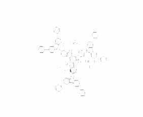 CCCCC(CC)Cn1c2cc(-n3c4ccc(-c5ccccc5)cc4c4cc(-c5ccccc5)ccc43)ccc2c2c1c1c3ccc(-n4c5ccc(-c6ccccc6)cc5c5cc(-c6ccccc6)ccc54)cc3n(CC(CC)CCCC)c1c1c3ccc(-n4c5ccc(-c6ccccc6)cc5c5cc(-c6ccccc6)ccc54)cc3n(CC(CC)CCCC)c21